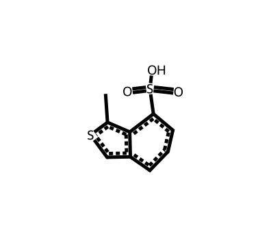 Cc1scc2cccc(S(=O)(=O)O)c12